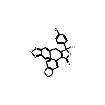 O=C1OC(O)(c2ccc(Cl)cc2)C(Cc2ccc3nsnc3c2)=C1c1ccc2c(c1)OCO2